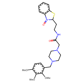 COc1ccc(CN2CCN(CC(=O)NCCC3Sc4ccccc4[N+]3=O)CC2)c(OC)c1OC